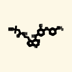 CC(C)(O)CC(=O)NCCn1ccc2ncnc(Nc3ccc(Oc4cccc(N)c4)c(Cl)c3)c21